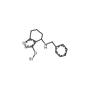 CCOc1noc2c1C(NCc1ccccc1)CCC2